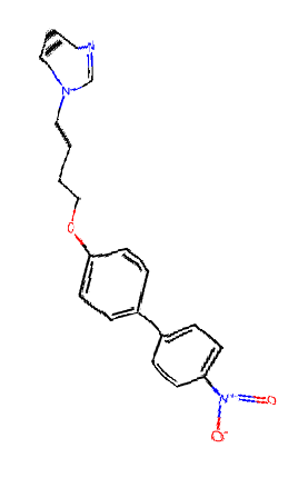 O=[N+]([O-])c1ccc(-c2ccc(OCCCCn3ccnc3)cc2)cc1